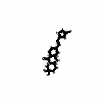 Cc1csc(/C=C/c2ccc3c(=O)n4c(nc3c2)CCC(C)(C)C4)c1